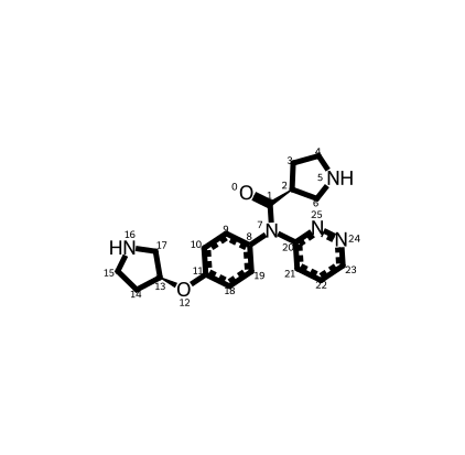 O=C([C@H]1CCNC1)N(c1ccc(O[C@H]2CCNC2)cc1)c1cccnn1